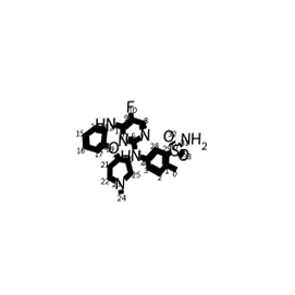 Cc1ccc(Nc2ncc(F)c(Nc3ccccc3OC3CCN(C)CC3)n2)cc1S(N)(=O)=O